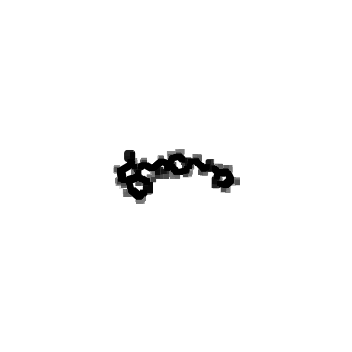 CCC1(CCCn2c(=O)ccc3ccncc32)CCN(CCSc2cccs2)CC1